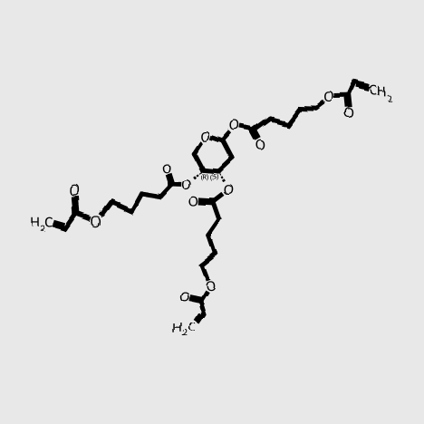 C=CC(=O)OCCCCC(=O)OC1C[C@H](OC(=O)CCCCOC(=O)C=C)[C@H](OC(=O)CCCCOC(=O)C=C)CO1